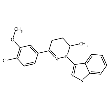 COc1cc(C2=NN(c3nsc4ccccc34)C(C)CC2)ccc1Cl